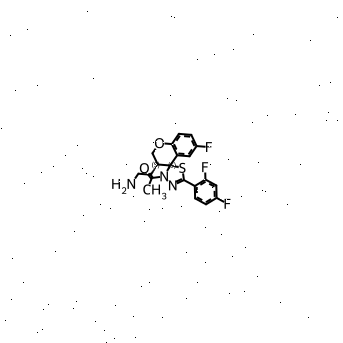 CC(=O)N1N=C(c2ccc(F)cc2F)S[C@@]12c1cc(F)ccc1OC[C@@H]2CCN